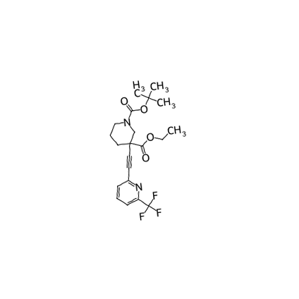 CCOC(=O)C1(C#Cc2cccc(C(F)(F)F)n2)CCCN(C(=O)OC(C)(C)C)C1